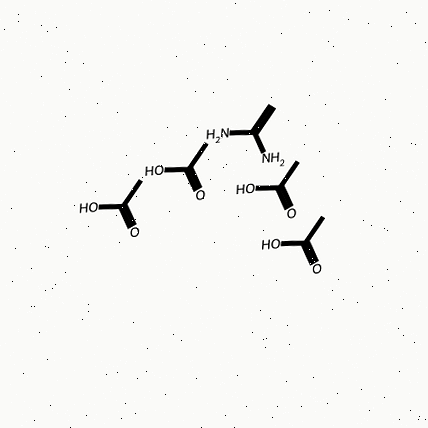 C=C(N)N.CC(=O)O.CC(=O)O.CC(=O)O.CC(=O)O